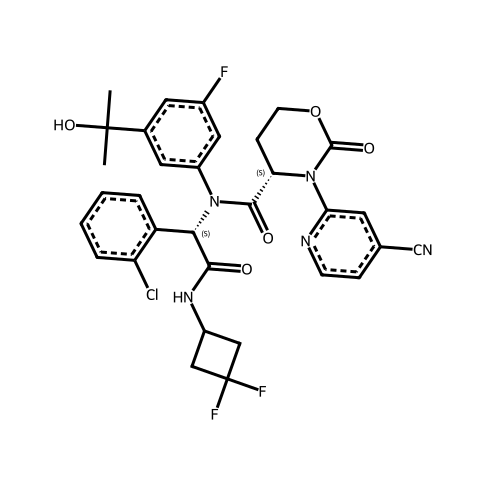 CC(C)(O)c1cc(F)cc(N(C(=O)[C@@H]2CCOC(=O)N2c2cc(C#N)ccn2)[C@H](C(=O)NC2CC(F)(F)C2)c2ccccc2Cl)c1